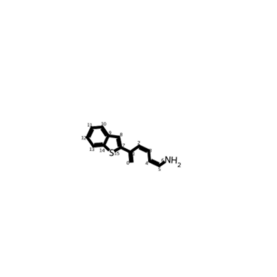 C=C(/C=C\C=C/N)c1cc2ccccc2s1